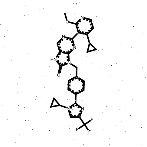 COc1nccc(C2CC2)c1-c1ncc2[nH]c(=O)n(Cc3ccc(-c4nc(C(F)(F)F)cn4C4CC4)cc3)c2n1